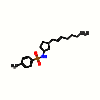 Cc1ccc(S(=O)(=O)NC2CCC(CC=CCCCC(=O)O)C2)cc1